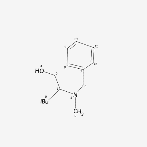 CCC(C)C(CO)N(C)Cc1ccccc1